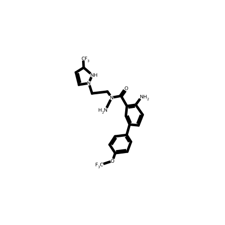 Nc1ccc(-c2ccc(OC(F)(F)F)cc2)cc1C(=O)N(N)CCN1C=CC(C(F)(F)F)N1